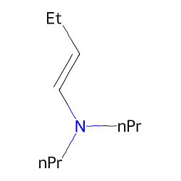 CCC=CN(CCC)CCC